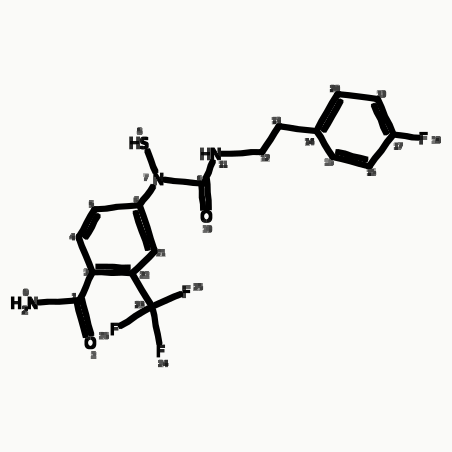 NC(=O)c1ccc(N(S)C(=O)NCCc2ccc(F)cc2)cc1C(F)(F)F